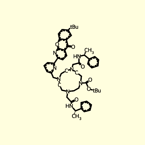 C[C@H](NC(=O)CN1CCN(Cc2cccc(-c3ccc4c(=O)c5cc(C(C)(C)C)ccc5oc4n3)n2)CCN(CC(=O)N[C@@H](C)c2ccccc2)CCN(C(=O)OC(C)(C)C)CC1)c1ccccc1